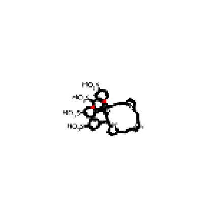 O=S(=O)(O)c1ccc(-c2c(-c3ccc(S(=O)(=O)O)cc3)c3c(-c4ccc(S(=O)(=O)O)cc4)c4nc(cc5ccc(cc6nc(cc2n3-c2ccc(S(=O)(=O)O)cc2)C=C6)[nH]5)C=C4)cc1